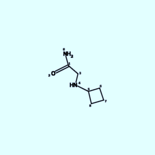 NC(=O)CNC1CCC1